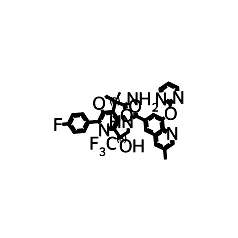 Cc1cnc2c(Oc3ncccn3)cc(C(=O)NC[C@](O)(c3cc4c(c(-c5ccc(F)cc5)n3)OC[C@]4(C)C(N)=O)C(F)(F)F)cc2c1